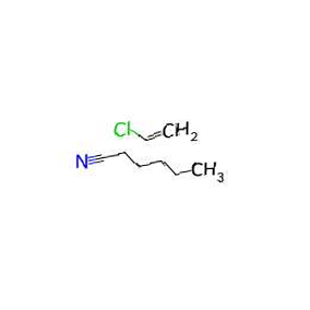 C=CCl.CCCCCC#N